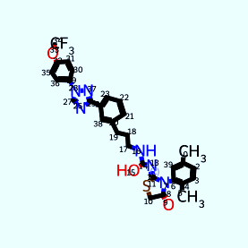 Cc1ccc(C)c(N2C(=O)CS/C2=N\C(O)NCCCc2cccc(-c3ncn(-c4ccc(OC(F)(F)F)cc4)n3)c2)c1